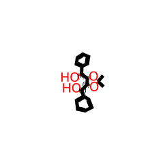 CC1(C)OC([C@H](O)c2ccccc2)[C@H]([C@H](O)c2ccccc2)O1